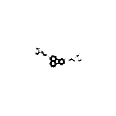 CCN(CC)CCCOc1ccc2c(c1)-c1ccc(OCCCN(CC)CC)c3cccc-2c13